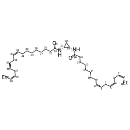 CC/C=C\C/C=C\C/C=C\CCCCCCCC(=O)N[C@H]1C[C@H]1NC(=O)CCCCCCC/C=C\C/C=C\C/C=C\CC